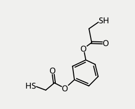 O=C(CS)Oc1cccc(OC(=O)CS)c1